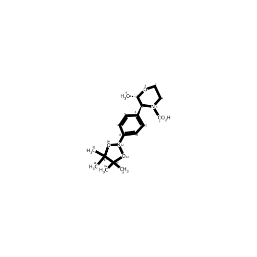 C[C@@H]1OCCN(C(=O)O)[C@H]1c1ccc(B2OC(C)(C)C(C)(C)O2)cc1